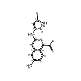 C=C(C)c1nc(Nc2cc(C)[nH]n2)cc2cc(O)ccc12